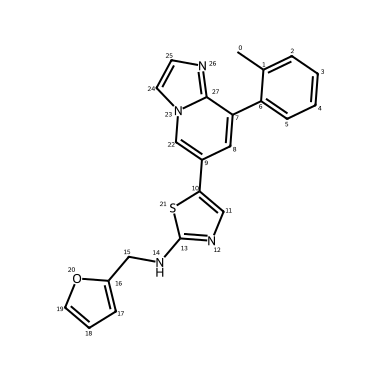 Cc1ccccc1-c1cc(-c2cnc(NCc3ccco3)s2)cn2ccnc12